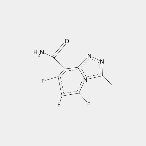 Cc1nnc2c(C(N)=O)c(F)c(F)c(F)n12